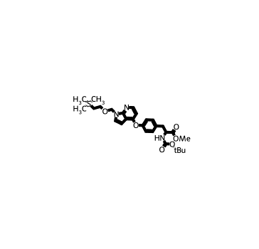 COC(=O)C(Cc1ccc(Oc2ccnc3c2ccn3COCCS(C)(C)C)cc1)NC(=O)OC(C)(C)C